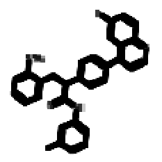 COc1ccccc1CC(C(=O)Nc1cccc(C)c1)c1ccc(-c2ccnc3ccc(F)cc23)cc1